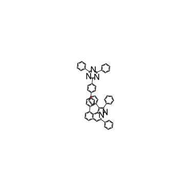 c1ccc(-c2nc(-c3ccccc3)nc(-c3ccc(-c4ccc(-c5cccc6cc(-c7ccccc7)n7nc(-c8ccccc8)c(-c8ccccc8)c7c56)cc4)cc3)n2)cc1